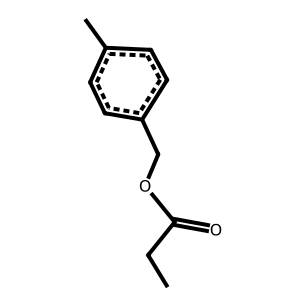 CCC(=O)OCc1ccc(C)cc1